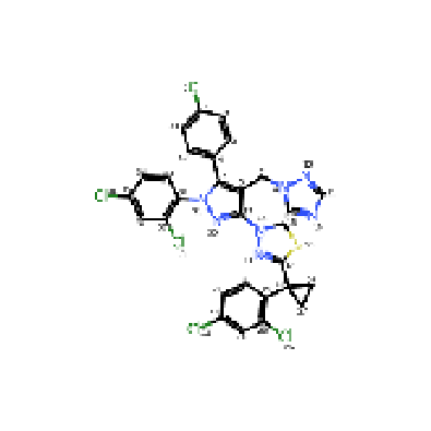 Clc1ccc(-c2c(Cn3cncn3)c(N3CSC(C4(c5ccc(Cl)cc5Cl)CC4)=N3)nn2-c2ccc(Cl)cc2Cl)cc1